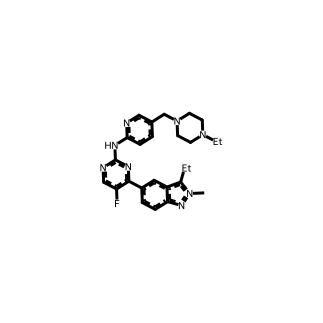 CCc1c2cc(-c3nc(Nc4ccc(CN5CCN(CC)CC5)cn4)ncc3F)ccc2nn1C